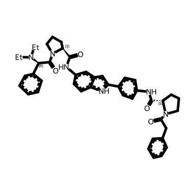 CCN(CC)[C@@H](C(=O)N1CCC[C@H]1C(=O)Nc1ccc2[nH]c(-c3ccc(NC(=O)[C@@H]4CCCN4C(=O)Cc4ccccc4)cc3)cc2c1)c1ccccc1